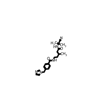 CC(CCNC(=O)c1ccc(Cn2ccnc2)cc1)CC(=O)NC(C)(C)C#N